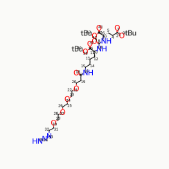 CC(C)(C)OC(=O)CC[C@H](NC(=O)N[C@@H](CCCCNC(=O)CCOCCOCCOCCOCCN=[N+]=N)C(=O)OC(C)(C)C)C(=O)OC(C)(C)C